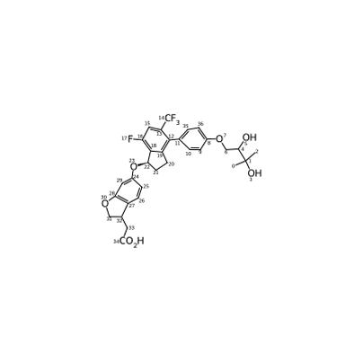 CC(C)(O)C(O)COc1ccc(-c2c(C(F)(F)F)cc(F)c3c2CC[C@H]3Oc2ccc3c(c2)OCC3CC(=O)O)cc1